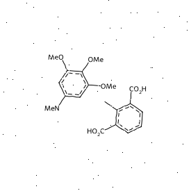 CNc1cc(OC)c(OC)c(OC)c1.Cc1c(C(=O)O)cccc1C(=O)O